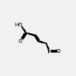 O=PC/C=C/C(=O)O